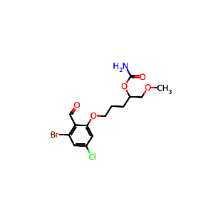 COCC(CCCOc1cc(Cl)cc(Br)c1C=O)OC(N)=O